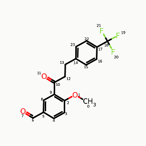 COc1ccc(C=O)cc1C(=O)CCc1ccc(C(F)(F)F)cc1